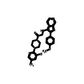 O=C(CNc1c(-c2ccc(OC(F)(F)F)cc2)nc2cnccn12)N1CCN(c2ncc(C(F)(F)F)cc2Cl)CC1